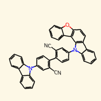 N#Cc1cc(-n2c3ccccc3c3ccccc32)ccc1-c1ccc(-n2c3ccccc3c3ccc4oc5ccccc5c4c32)cc1C#N